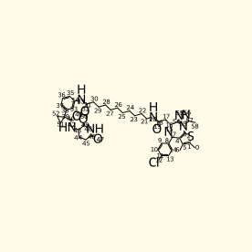 Cc1sc2c(c1C)C(c1ccc(Cl)cc1)=N[C@@H](CC(=O)NCCCCCCCCCCC(=O)Nc1cccc(C3(C(=O)NC4CCC(=O)NC4=O)CC3)c1)c1nnc(C)n1-2